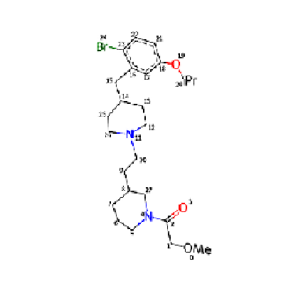 COCC(=O)N1CCCC(CCN2CCC(Cc3cc(OC(C)C)ccc3Br)CC2)C1